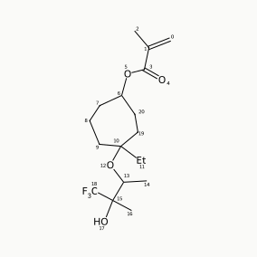 C=C(C)C(=O)OC1CCCC(CC)(OC(C)C(C)(O)C(F)(F)F)CC1